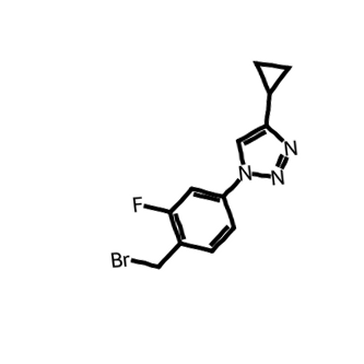 Fc1cc(-n2cc(C3CC3)nn2)ccc1CBr